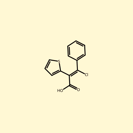 O=C(O)C(=C(Cl)c1ccccc1)c1cccs1